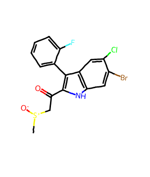 C[S+]([O-])CC(=O)c1[nH]c2cc(Br)c(Cl)cc2c1-c1ccccc1F